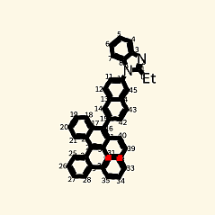 CCc1nc2ccccc2n1-c1ccc2cc(-c3c4ccccc4c(-c4ccccc4-c4ccccc4)c4ccccc34)ccc2c1